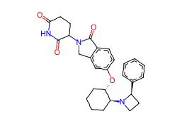 O=C1CCC(N2Cc3cc(O[C@H]4CCCC[C@@H]4N4CC[C@@H]4c4ccccc4)ccc3C2=O)C(=O)N1